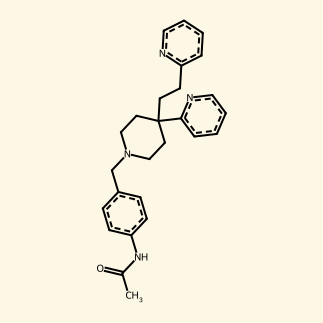 CC(=O)Nc1ccc(CN2CCC(CCc3ccccn3)(c3ccccn3)CC2)cc1